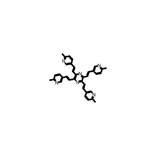 Cc1ccc(C=Cc2nc(C=Cc3ccc(C)nc3)c(C=Cc3ccc(C)nc3)nc2C=Cc2ccc(C)nc2)cn1